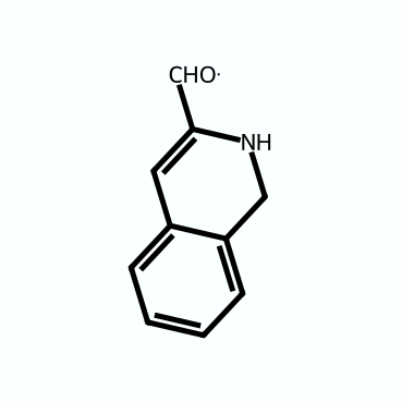 O=[C]C1=Cc2ccccc2CN1